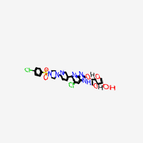 O=S(=O)(c1ccc(Cl)cc1)N1CCN(c2ccc(-c3nc4nc(O[C@@H]5CO[C@H]6[C@@H]5OC[C@H]6O)[nH]c4cc3Cl)cn2)CC1